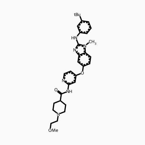 COCCN1CCC(C(=O)Nc2cc(Oc3ccc4c(c3)nc(Nc3cccc(C(C)(C)C)c3)n4C)ccn2)CC1